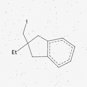 CCC1(CI)Cc2ccccc2C1